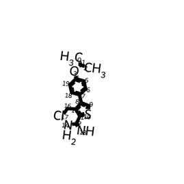 CC(C)Oc1ccc(-c2csc(C(=N)N)c2CCl)cc1